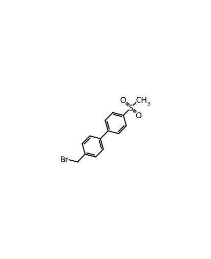 CS(=O)(=O)c1ccc(-c2ccc(CBr)cc2)cc1